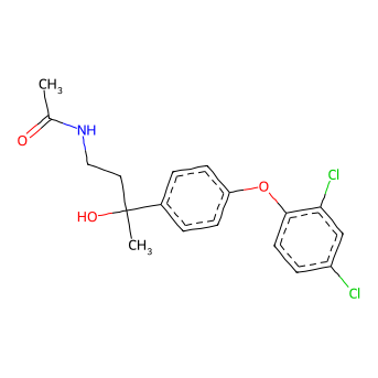 CC(=O)NCCC(C)(O)c1ccc(Oc2ccc(Cl)cc2Cl)cc1